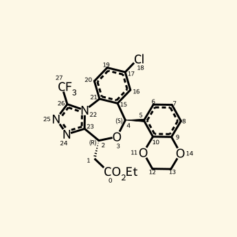 CCOC(=O)C[C@H]1O[C@H](c2cccc3c2OCCO3)c2cc(Cl)ccc2-n2c1nnc2C(F)(F)F